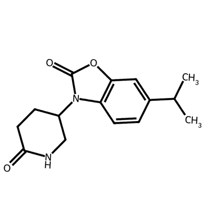 CC(C)c1ccc2c(c1)oc(=O)n2C1CCC(=O)NC1